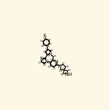 Fc1ccc(-c2cc3n(c2)Cc2nc(N4CCC5(CNC5)C4)ccc2-n2ccnc2-3)cc1